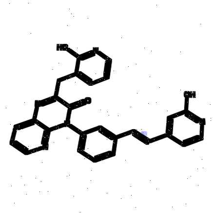 O=c1c(Cc2cccnc2O)nc2cccnc2n1-c1cccc(/C=C/c2ccnc(O)c2)c1